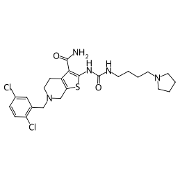 NC(=O)c1c(NC(=O)NCCCCN2CCCC2)sc2c1CCN(Cc1cc(Cl)ccc1Cl)C2